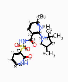 CC1CN(c2nc(C(C)(C)C)ccc2C(=O)NS(=O)(=O)c2ccc[nH]c2=O)C(C)(C)C1